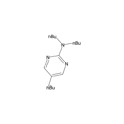 CCCCc1cnc(N(CCCC)CCCC)nc1